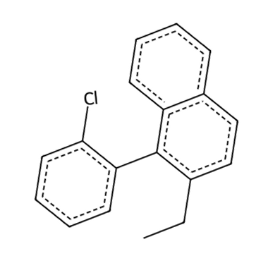 CCc1ccc2ccccc2c1-c1ccccc1Cl